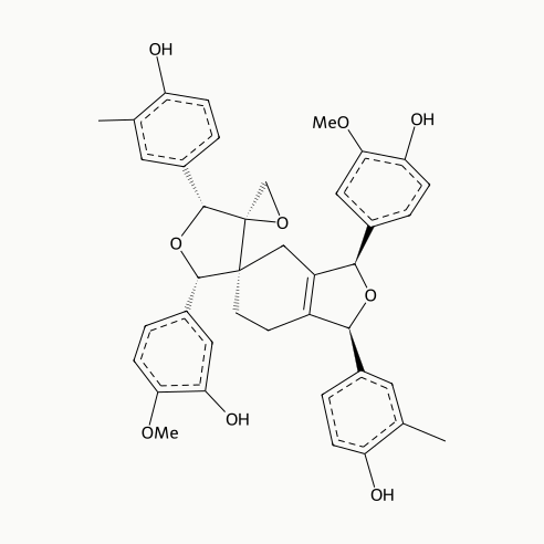 COc1ccc([C@@H]2O[C@H](c3ccc(O)c(C)c3)[C@]3(CO3)[C@]23CCC2=C(C3)[C@@H](c3ccc(O)c(OC)c3)O[C@H]2c2ccc(O)c(C)c2)cc1O